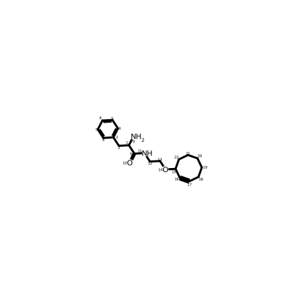 NC(Cc1ccccc1)C(=O)NCCOC1C#CCCCCC1